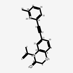 C=C(C)N1C(=O)COc2ccc(C#Cc3cccc(C)n3)cc21